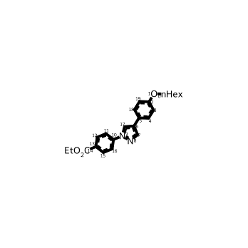 CCCCCCOc1ccc(-c2cnn(-c3ccc(C(=O)OCC)cc3)c2)cc1